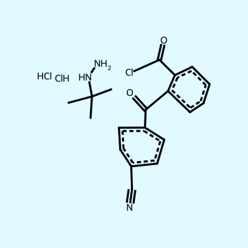 CC(C)(C)NN.Cl.Cl.N#Cc1ccc(C(=O)c2ccccc2C(=O)Cl)cc1